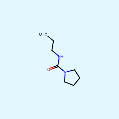 COCCNC(=O)N1CCCC1